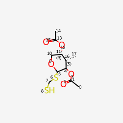 CC(=O)OC1C(SCS)OC[C@H](OC(C)=O)[C@@H]1C